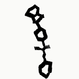 OC(CCc1cccnc1)Nc1ccc(-c2nc3ccccc3s2)cc1